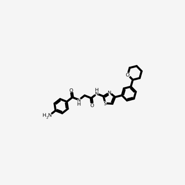 Nc1ccc(C(=O)NCC(=O)Nc2nc(-c3cccc(C4CCCCO4)c3)cs2)cc1